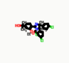 CCOc1cc(C(C)(C)O)ccc1C1=N[C@@](C)(c2ccc(Cl)cc2)[C@@](C)(c2ccc(Cl)cc2)N1C(=O)Cl